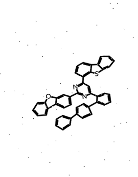 c1ccc(-c2ccc(-c3ccccc3-c3cc(-c4cccc5c4sc4ccccc45)nc(-c4ccc5c(c4)oc4ccccc45)n3)cc2)cc1